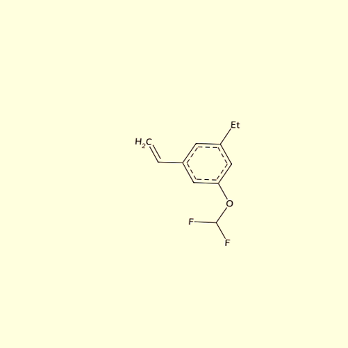 C=Cc1cc(CC)cc(OC(F)F)c1